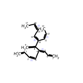 C=C/C=C\C(=C/C=C)C(=C)C(/C=C\C)=C/C=C\C